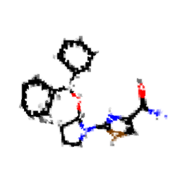 CC(C)(C)[C@H]1CCN(c2nc(C(N)=O)cs2)C1O[SiH](c1ccccc1)c1ccccc1